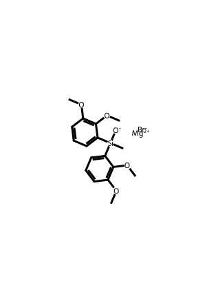 COc1cccc([Si](C)([O-])c2cccc(OC)c2OC)c1OC.[Br-].[Mg+2]